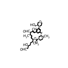 C/C(=C\c1cc(F)cc(N2CCOC[C@@H]2CO)c1)[C@@H](C=O)[C@@H](C)/C=C/[C@H](OC(=O)N1CCN(C)CC1)[C@@H](C)CC[C@@H](O)CC=O